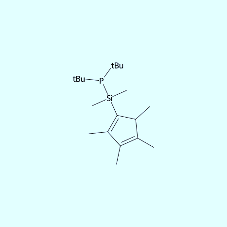 CC1=C(C)C(C)C([Si](C)(C)P(C(C)(C)C)C(C)(C)C)=C1C